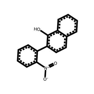 O=[N+]([O-])c1ccccc1-c1ccc2ccccc2c1O